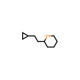 C1CCC(CCC2CC2)PC1